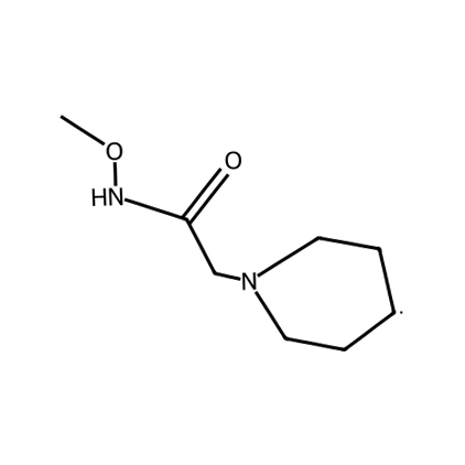 CONC(=O)CN1CC[CH]CC1